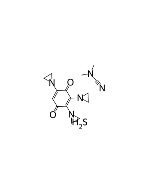 CN(C)C#N.O=C1C=C(N2CC2)C(=O)C(N2CC2)=C1N1CC1.S